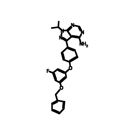 CC(C)n1nc(-c2ccc(Oc3cc(F)cc(OCc4ccccc4)c3)cc2)c2c(N)ncnc21